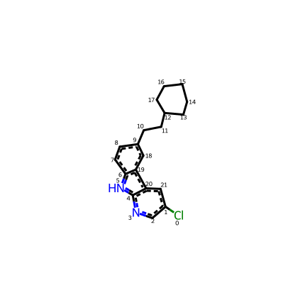 Clc1cnc2[nH]c3ccc(CCC4CCCCC4)cc3c2c1